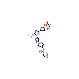 [2H]C(C)(C)S(=O)(=O)c1ccc(-c2cnc(N)c(-c3cc(-c4ccc(CNC5CCOCC5)cc4)no3)n2)cc1